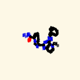 CN1CCCc2nc(-c3ncn4c(C(N)=O)cccc34)nc(NCc3ccccc3)c21